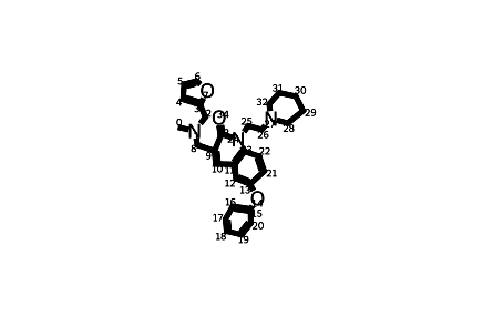 CN(Cc1ccco1)Cc1cc2cc(Oc3ccccc3)ccc2n(CCN2CCCCC2)c1=O